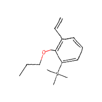 C=Cc1cccc([Si](C)(C)C)c1OCCC